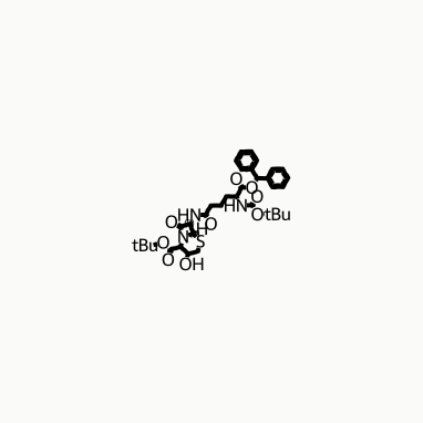 CC(C)(C)OC(=O)NC(CCCC(=O)N[C@@H]1C(=O)N2C(C(=O)OC(C)(C)C)C(O)CS[C@@H]12)C(=O)OC(c1ccccc1)c1ccccc1